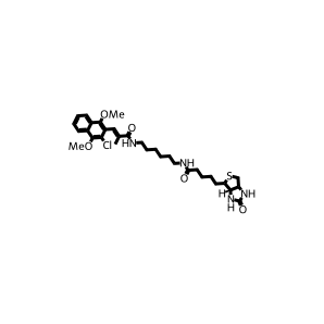 COc1c(Cl)c(/C=C(\C)C(=O)NCCCCCCNC(=O)CCCCC2SCC3NC(=O)N[C@@H]32)c(OC)c2ccccc12